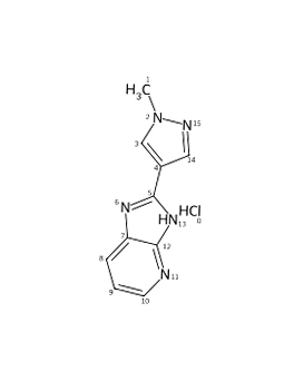 Cl.Cn1cc(-c2nc3cccnc3[nH]2)cn1